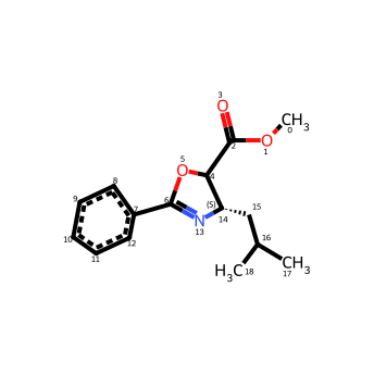 COC(=O)C1OC(c2ccccc2)=N[C@H]1CC(C)C